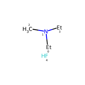 CCN(C)CC.F